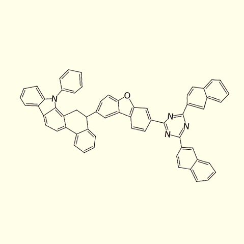 c1ccc(-n2c3ccccc3c3ccc4c(c32)CC(c2ccc3oc5cc(-c6nc(-c7ccc8ccccc8c7)nc(-c7ccc8ccccc8c7)n6)ccc5c3c2)c2ccccc2-4)cc1